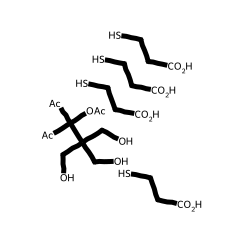 CC(=O)OC(C(C)=O)(C(C)=O)C(CO)(CO)CO.O=C(O)CCS.O=C(O)CCS.O=C(O)CCS.O=C(O)CCS